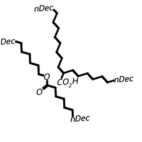 CCCCCCCCCCCCCCCCCCC(CCCCCCCCCCCCCCCC)C(=O)O.CCCCCCCCCCCCCCCCOC(=O)CCCCCCCCCCCCCCC